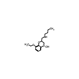 CCCCNCC1COc2cccc(OCC)c2O1.Cl